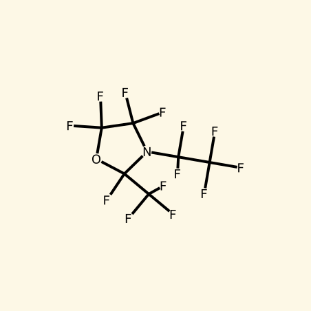 FC(F)(F)C(F)(F)N1C(F)(F)C(F)(F)OC1(F)C(F)(F)F